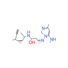 C#CC(C)/C=C\C(C)NC(O)C/C=N\N1CN=C(C)C=C1NC